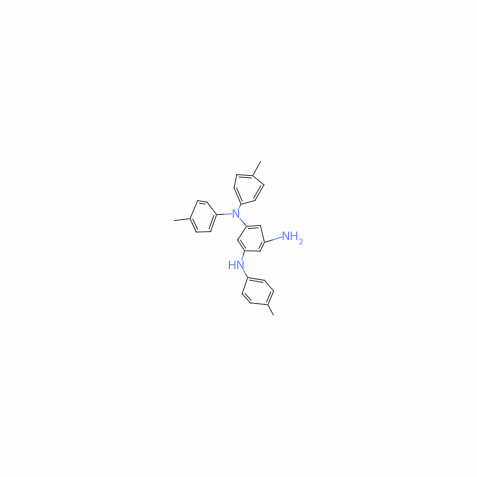 Cc1ccc(Nc2cc(N)cc(N(c3ccc(C)cc3)c3ccc(C)cc3)c2)cc1